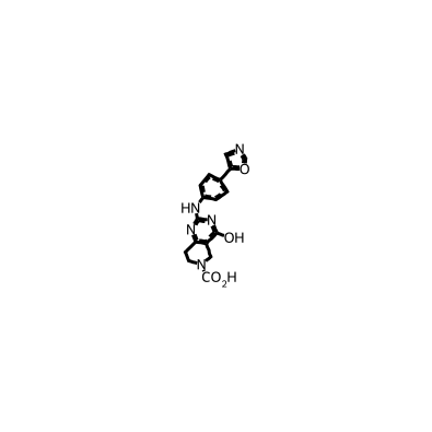 O=C(O)N1CCc2nc(Nc3ccc(-c4cnco4)cc3)nc(O)c2C1